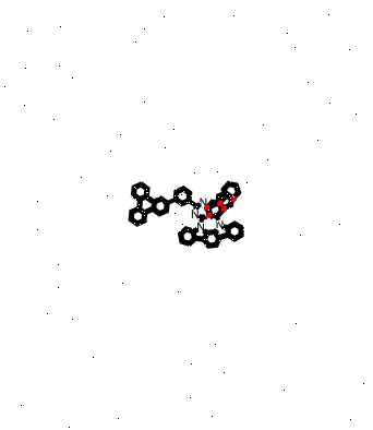 c1ccc(-c2cccc(-n3c4ccccc4c4ccc5c6ccccc6n(-c6nc(-c7ccccc7)nc(-c7cccc(-c8ccc9c%10ccccc%10c%10ccccc%10c9c8)c7)n6)c5c43)c2)cc1